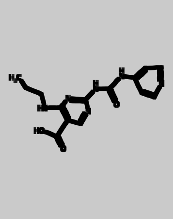 CCCNc1nc(NC(=O)Nc2ccncc2)ncc1C(=O)O